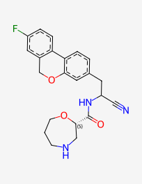 N#CC(Cc1ccc2c(c1)OCc1cc(F)ccc1-2)NC(=O)[C@@H]1CNCCCO1